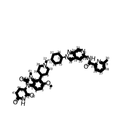 COc1ccc2c(c1C1CCN(C[C@H]3CC[C@H](n4cc5cc(NC(=O)c6cccc(C)n6)ncc5n4)CC3)CC1)n(C)c(=O)n2C1CCC(=O)NC1=O